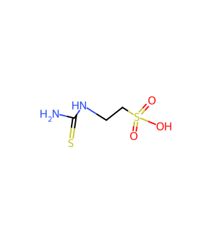 NC(=S)NCCS(=O)(=O)O